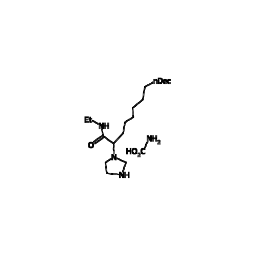 CCCCCCCCCCCCCCCCC(C(=O)NCC)N1CCNC1.NC(=O)O